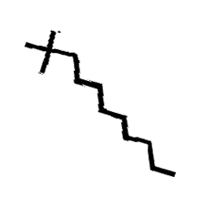 [CH2]C(C)(C)CCCCCCCCC